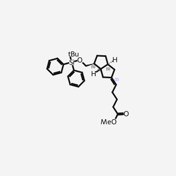 COC(=O)CCC/C=C1/C[C@@H]2CC[C@H](CO[Si](c3ccccc3)(c3ccccc3)C(C)(C)C)[C@H]2C1